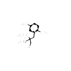 NC(CF)(Cc1cc(O)ccc1O)C(=O)O